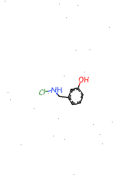 Oc1cccc(CNCl)c1